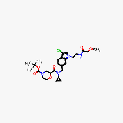 COCC(=O)NCCn1cc(Cl)c2ccc(CN(C(=O)C3CN(C(=O)OC(C)(C)C)CCO3)C3CC3)cc21